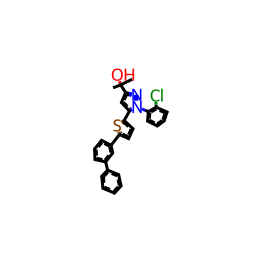 CC(C)(O)c1cc(-c2ccc(-c3cccc(-c4ccccc4)c3)s2)n(-c2ccccc2Cl)n1